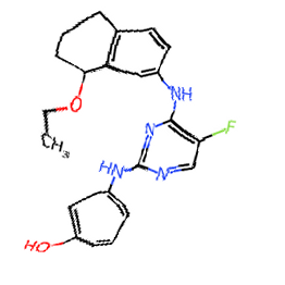 CCOC1CCCc2ccc(Nc3nc(Nc4cccc(O)c4)ncc3F)cc21